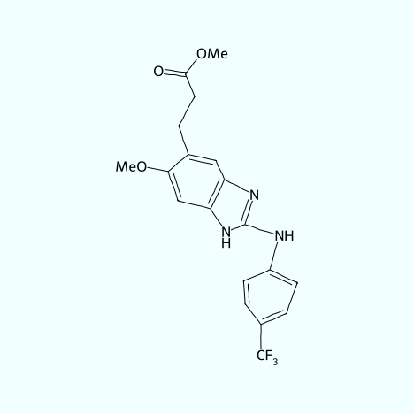 COC(=O)CCc1cc2nc(Nc3ccc(C(F)(F)F)cc3)[nH]c2cc1OC